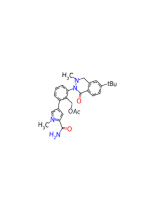 CC(=O)OCc1c(-c2cc(C(N)=O)n(C)c2)cccc1N1C(=O)c2ccc(C(C)(C)C)cc2CN1C